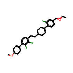 CCOCc1ccc(C2CCC(CCc3ccc(C4=CCC(OC)CC4)c(F)c3F)CC2)c(F)c1